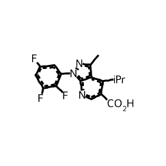 Cc1nn(-c2cc(F)cc(F)c2F)c2ncc(C(=O)O)c(C(C)C)c12